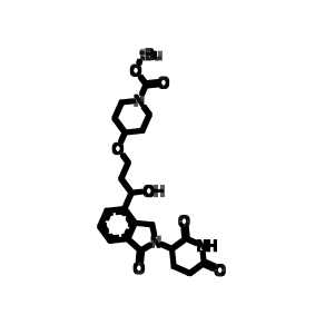 CC(C)(C)OC(=O)N1CCC(OCCC(O)c2cccc3c2CN(C2CCC(=O)NC2=O)C3=O)CC1